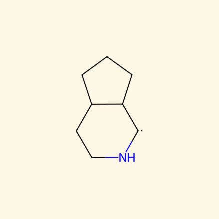 [CH]1NCCC2CCCC12